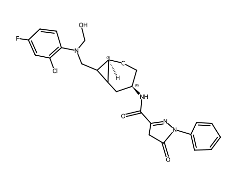 O=C(N[C@@H]1CC[C@H]2C(C1)C2CN(CO)c1ccc(F)cc1Cl)C1=NN(c2ccccc2)C(=O)C1